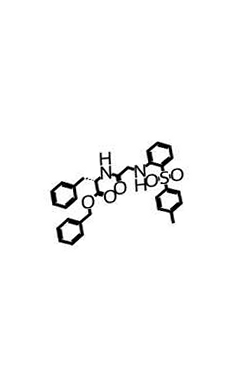 Cc1ccc(S(=O)(=O)c2ccccc2NCC(=O)N[C@@H](Cc2ccccc2)C(=O)OCc2ccccc2)cc1